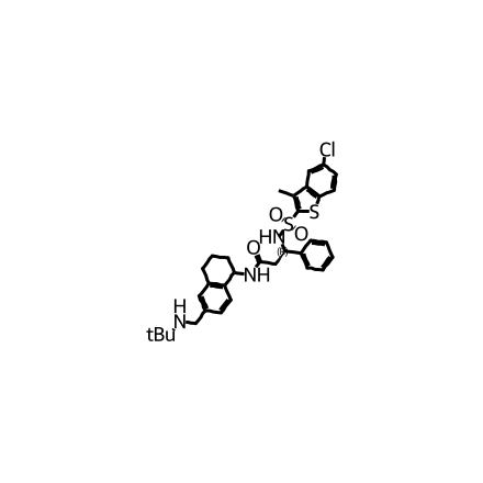 Cc1c(S(=O)(=O)N[C@H](CC(=O)NC2CCCc3cc(CNC(C)(C)C)ccc32)c2ccccc2)sc2ccc(Cl)cc12